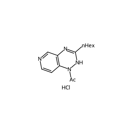 CCCCCCC1=Nc2cnccc2N(C(C)=O)N1.Cl